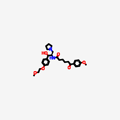 COCCOc1ccc(C(O)[C@@H](CN2CCCC2)NC(=O)CCCCC(=O)c2ccc(OC)cc2)cc1